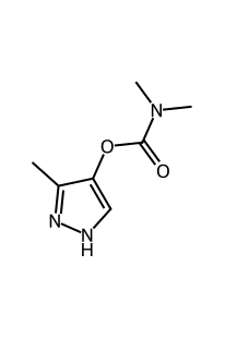 Cc1n[nH]cc1OC(=O)N(C)C